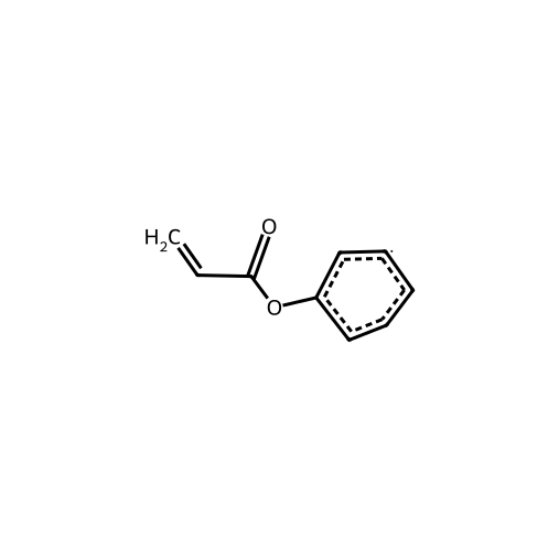 C=CC(=O)Oc1c[c]ccc1